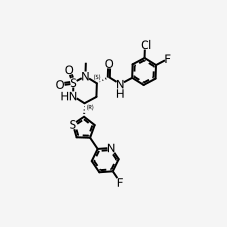 CN1[C@H](C(=O)Nc2ccc(F)c(Cl)c2)C[C@H](c2cc(-c3ccc(F)cn3)cs2)NS1(=O)=O